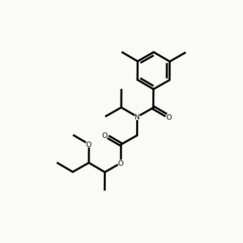 CCC(OC)C(C)OC(=O)CN(C(=O)c1cc(C)cc(C)c1)C(C)C